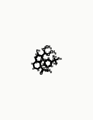 COC(OC)c1nc2c(cc1F)CCC[N+]2(C(N)=O)c1ccc(C(F)(F)F)cn1